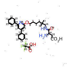 CC(C)(CCCCOc1cc(-c2ccccc2)cc(-c2ccccc2)n1)CNC(=O)C(N)CC(=O)O.O=C(O)C(F)(F)F